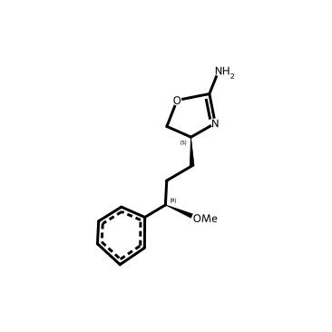 CO[C@H](CC[C@H]1COC(N)=N1)c1ccccc1